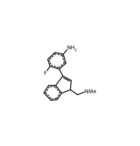 CNCC1C=C(c2cc(N)ccc2F)c2ccccc21